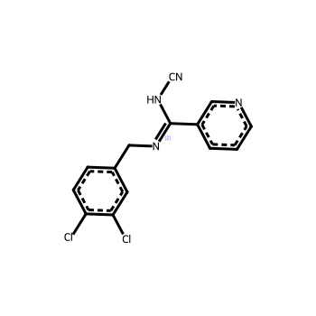 N#CN/C(=N\Cc1ccc(Cl)c(Cl)c1)c1cccnc1